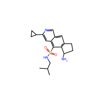 CC(C)CNS(=O)(=O)c1c2c(cc3cnc(C4CC4)cc13)CCC2N